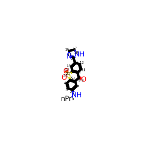 CCCNc1ccc2c(c1)C(=O)c1ccc(C3=NCCN3)cc1S2(=O)=O